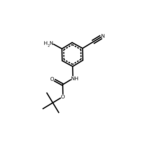 CC(C)(C)OC(=O)Nc1cc(N)cc(C#N)c1